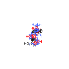 CC[C@H](C)[C@H](NC(=O)[C@@H](NC(=O)[C@@H](NC(=O)[C@H](CCCNC(=N)N)NC(=O)[C@H](CO)NC(=O)[C@@H](N)CC(=O)O)C(C)C)C(C)C)C(=O)N[C@@H](CCC(N)=O)C(=O)N1CCC[C@H]1C(=O)N[C@@H](CO)C(=O)N1CCC[C@H]1C(=O)N[C@H](C(=O)N[C@H](C(=O)N[C@H](C(=O)N[C@H](C(=O)N[C@@H](CC(C)C)C(=O)N1CCC[C@H]1C(=O)NCC(=O)O)[C@@H](C)O)C(C)C)C(C)C)C(C)C